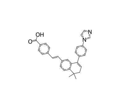 CC1(C)CC=C(c2ccc(-n3ccnc3)cc2)c2cc(/C=C/c3ccc(C(=O)O)cc3)ccc21